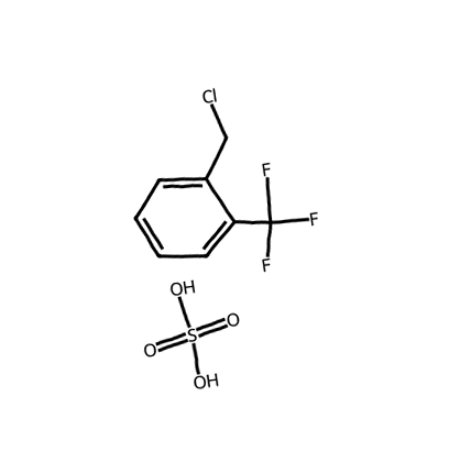 FC(F)(F)c1ccccc1CCl.O=S(=O)(O)O